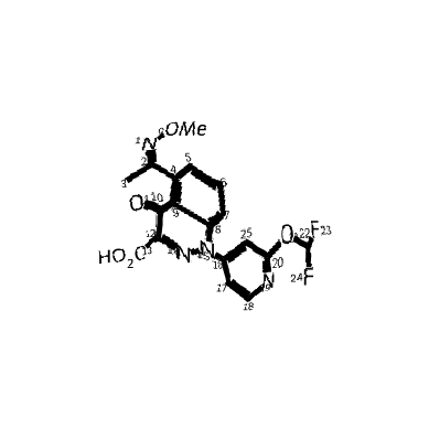 CO/N=C(/C)c1cccc2c1c(=O)c(C(=O)O)nn2-c1ccnc(OC(F)F)c1